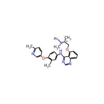 CC(=O)N(C)[C@@H](C)COc1cccc2ncnc(Nc3ccc(Oc4ccc(C)nc4)c(C)c3)c12